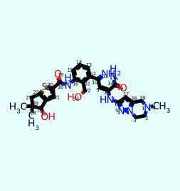 CN1CCn2nc(N/C(=C/C(=N)c3cccc(NC(=O)c4cc5c(s4)CC(C)(C)C5O)c3CO)C(N)=O)cc2C1